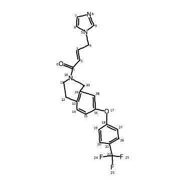 O=C(/C=C/Cn1ccnc1)N1CCc2ccc(Oc3ccc(C(F)(F)F)cc3)cc2C1